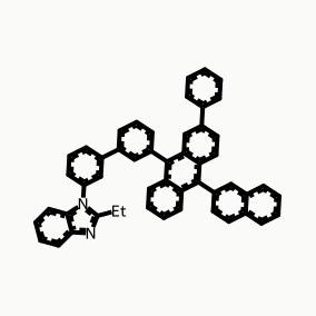 CCc1nc2ccccc2n1-c1cccc(-c2cccc(-c3c4ccccc4c(-c4ccc5ccccc5c4)c4ccc(-c5ccccc5)cc34)c2)c1